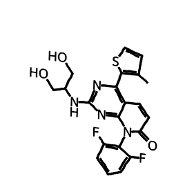 Cc1ccsc1-c1nc(NC(CO)CO)nc2c1ccc(=O)n2-c1c(F)cccc1F